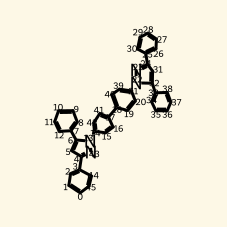 c1ccc(-c2cc(-c3ccccc3)n(-c3ccc(-c4ccc(-n5nc(-c6ccccc6)cc5-c5ccccc5)cc4)cc3)n2)cc1